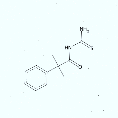 CC(C)(C(=O)NC(N)=S)c1ccccc1